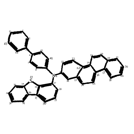 c1ccc(-c2ccc(N(c3ccc4c(ccc5c6ccccc6ccc45)c3)c3cccc4c3sc3ccccc34)cc2)cc1